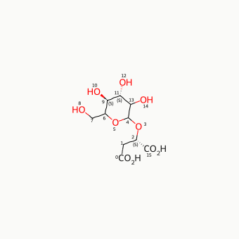 O=C(O)C[C@H](OC1OC(CO)[C@@H](O)[C@H](O)C1O)C(=O)O